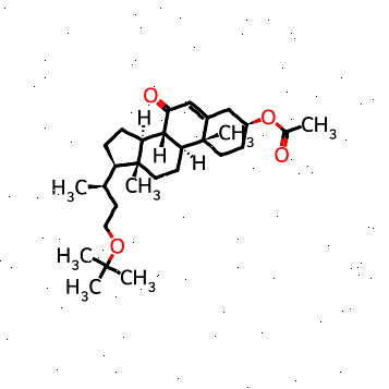 CC(=O)O[C@H]1CC[C@@]2(C)C(=CC(=O)[C@H]3[C@@H]4CC[C@H]([C@H](C)CCOC(C)(C)C)[C@@]4(C)CC[C@@H]32)C1